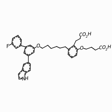 O=C(O)CCCOc1cccc(CCCCCCOc2cc(-c3cccc(F)c3)cc(-c3ccc4[nH]ccc4c3)c2)c1CCC(=O)O